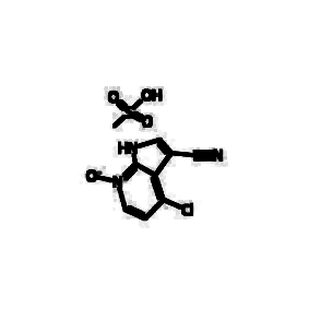 CS(=O)(=O)O.N#Cc1c[nH]c2c1c(Cl)cc[n+]2[O-]